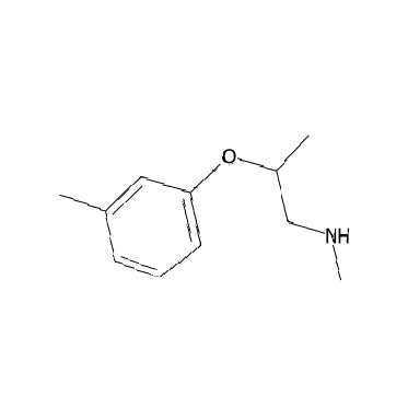 CNCC(C)Oc1cccc(C)c1